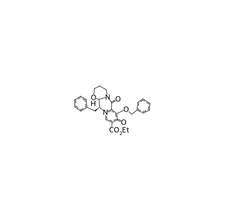 CCOC(=O)c1cn2c(c(OCc3ccccc3)c1=O)C(=O)N1CCCO[C@@H]1[C@@H]2Cc1ccccc1